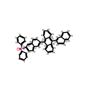 O=P(c1ccccc1)(c1ccccc1)c1ccc2cc(-c3c4ccccc4c(-c4ccc5ccccc5c4)c4ccccc34)ccc2c1